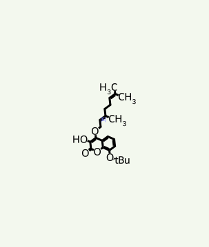 CC(C)=CCC/C(C)=C/COc1c(O)c(=O)oc2c(OC(C)(C)C)cccc12